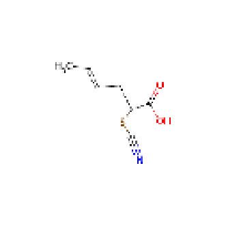 CC=CCC(SC#N)C(=O)O